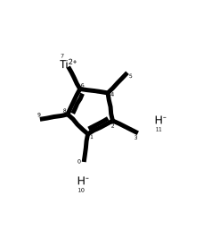 CC1=C(C)C(C)[C]([Ti+2])=C1C.[H-].[H-]